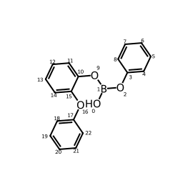 OB(Oc1ccccc1)Oc1ccccc1Oc1ccccc1